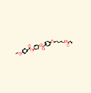 C=CC(=O)OCCCCCOc1ccc(C(=O)Oc2ccc(OC(=O)c3ccc(OCC)cc3)cc2)cc1